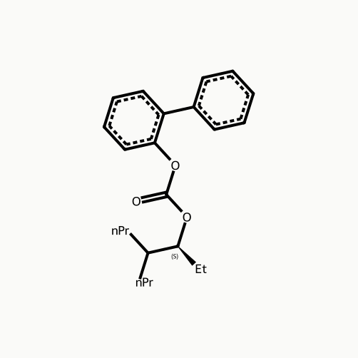 CCCC(CCC)[C@H](CC)OC(=O)Oc1ccccc1-c1ccccc1